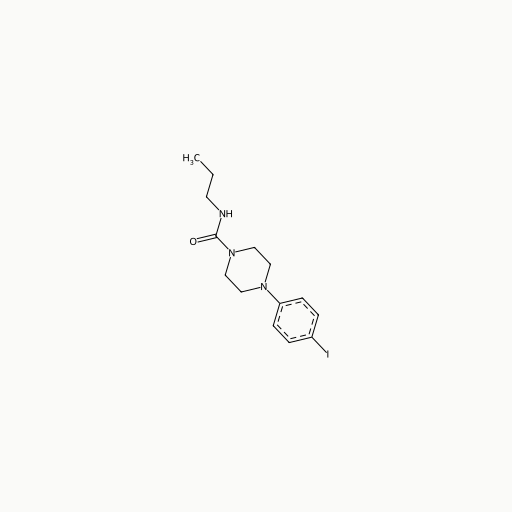 CCCNC(=O)N1CCN(c2ccc(I)cc2)CC1